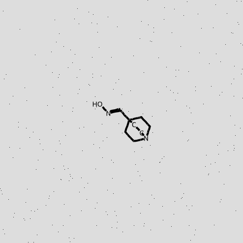 ON=CC12CCN(CC1)CC2